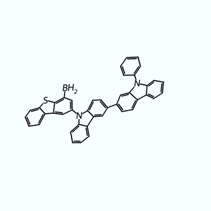 Bc1cc(-n2c3ccccc3c3cc(-c4ccc5c6ccccc6n(-c6ccccc6)c5c4)ccc32)cc2c1sc1ccccc12